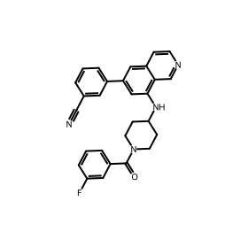 N#Cc1cccc(-c2cc(NC3CCN(C(=O)c4cccc(F)c4)CC3)c3cnccc3c2)c1